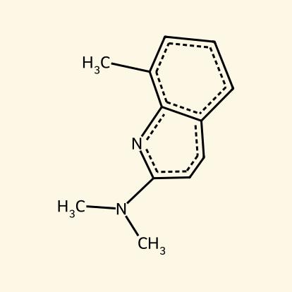 Cc1cccc2ccc(N(C)C)nc12